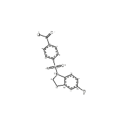 O=C(Cl)c1ccc(S(=O)(=O)N2CCc3cc(Cl)ccc32)cc1